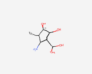 CCC1C(N)C(C(O)O)C(O)[C@@H]1O